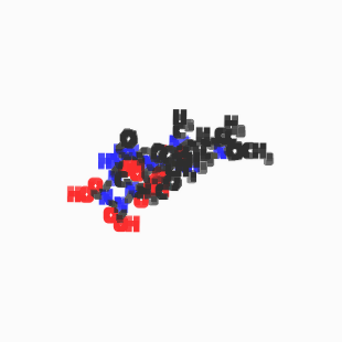 CC[N+]1=C(/C=C/C=C/C=C2\N(CCCCCC(=O)NCCCC[C@H](NC(=O)[C@H](Cc3ccccc3)NC(=O)[C@H](Cc3ccccc3)NC(=O)CN3CCN(CC(=O)O)CCN(CC(=O)O)CCN(CC(=O)O)CC3)C(=O)COC(=O)c3c(C)cccc3C)c3ccc(C)cc3C2(C)C)C(C)(C)c2ccccc21